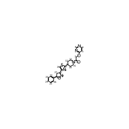 O=C(COc1ccncn1)N1CCC(c2nc(C3=NOC(c4ccccc4)C3)cs2)CC1